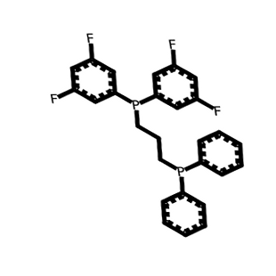 Fc1cc(F)cc(P(CCCP(c2ccccc2)c2ccccc2)c2cc(F)cc(F)c2)c1